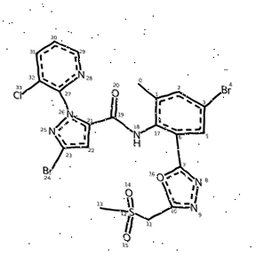 Cc1cc(Br)cc(-c2nnc(CS(C)(=O)=O)o2)c1NC(=O)c1cc(Br)nn1-c1ncccc1Cl